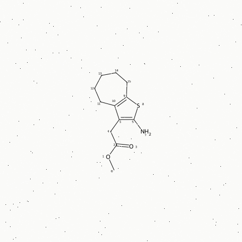 COC(=O)Cc1c(N)sc2c1CCCCC2